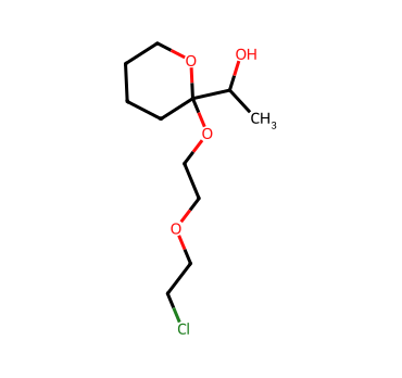 CC(O)C1(OCCOCCCl)CCCCO1